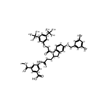 COC(=O)c1cc(NC(=S)CCC2Cc3cc(OCc4cc(Br)cc(Br)c4)ccc3N2C(=O)COc2cc(C(F)(F)F)cc(C(F)(F)F)c2)cc(C(=O)O)c1